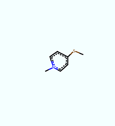 CSc1cc[n+](C)cc1